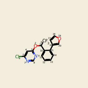 FC(F)(F)C(Oc1cc(Cl)ncn1)c1ccccc1-c1ccoc1